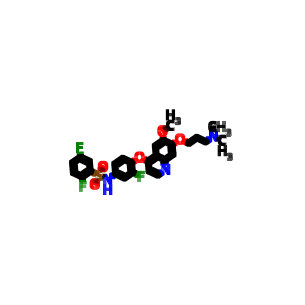 COc1cc2c(Oc3ccc(NS(=O)(=O)c4cc(F)ccc4F)cc3F)ccnc2cc1OCCCN(C)C